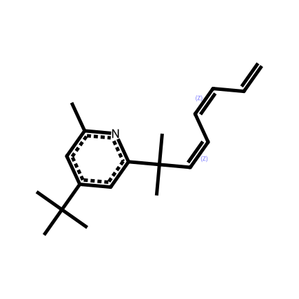 C=C/C=C\C=C/C(C)(C)c1cc(C(C)(C)C)cc(C)n1